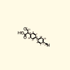 N#Cc1ccc(-c2ccc(C(C=O)C(=O)O)cc2)cc1